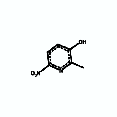 Cc1nc([N+](=O)[O-])ccc1O